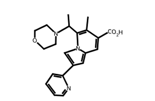 Cc1c(C(=O)O)cc2cc(-c3ccccn3)cn2c1C(C)N1CCOCC1